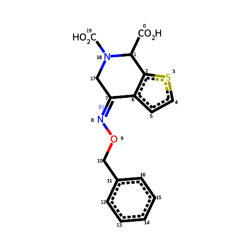 O=C(O)C1c2sccc2/C(=N\OCc2ccccc2)CN1C(=O)O